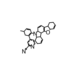 CC1C=CC(N2C3C=CC4=C(OC5C=CCCC45)C3C3C=CCCC32)=C(c2ccnc(C#N)c2)C1